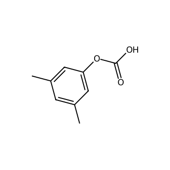 Cc1cc(C)cc(OC(=O)O)c1